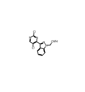 COCn1nc(-c2nc(Cl)ncc2Cl)c2ccccc21